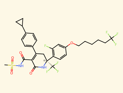 CS(=O)(=O)NC(=O)C1=C(c2ccc(C3CC3)cc2)C[C@](c2ccc(OCCCCCC(F)(F)F)cc2F)(C(F)(F)F)NC1=O